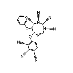 N#Cc1ccc(Op2npn(C#N)p(C#N)n(C#N)p(C#N)n2Oc2ccccc2)c(C#N)c1C#N